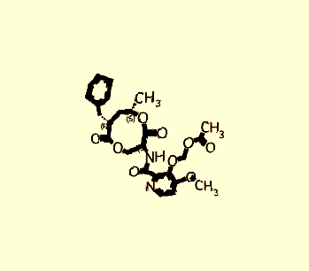 COc1ccnc(C(=O)N[C@H]2COC(=O)[C@H](Cc3ccccc3)C[C@H](C)OC2=O)c1OCOC(C)=O